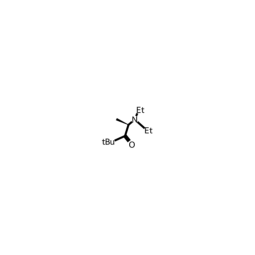 CCN(CC)[C@H](C)C(=O)C(C)(C)C